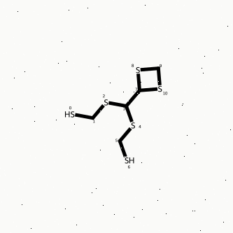 SCSC(SCS)C1SCS1